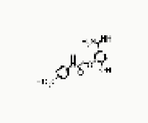 N=C(N)c1ccc(O)c(OCC(=O)Nc2ccc(C(=O)O)cc2)c1